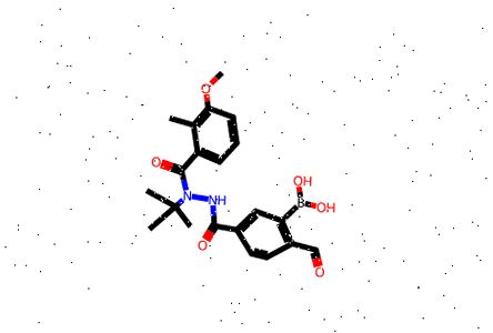 COc1cccc(C(=O)N(NC(=O)c2ccc(C=O)c(B(O)O)c2)C(C)(C)C)c1C